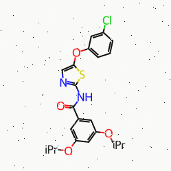 CC(C)Oc1cc(OC(C)C)cc(C(=O)Nc2ncc(Oc3cccc(Cl)c3)s2)c1